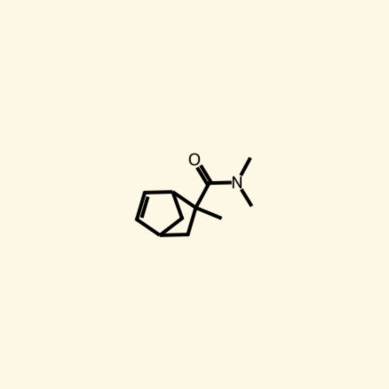 CN(C)C(=O)C1(C)CC2C=CC1C2